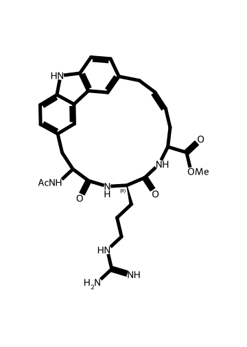 COC(=O)C1CC=CCc2ccc3[nH]c4ccc(cc4c3c2)CC(NC(C)=O)C(=O)N[C@H](CCCNC(=N)N)C(=O)N1